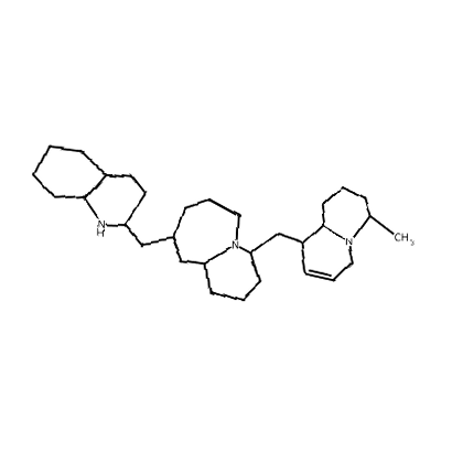 CC1CCCC2C(CC3CCCC4CC(CC5CCC6CCCCC6N5)CCCN43)C=CCN12